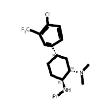 CC(C)N[C@H]1CC[C@H](c2ccc(Cl)c(C(F)(F)F)c2)C[C@@H]1N(C)C